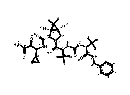 CC(C)(C)[C@H](NC(=O)N[C@H](C(=O)N1C[C@H]2[C@@H]([C@H]1C(=O)NC(C(=O)C(N)=O)C1CC1)C2(C)C)C(C)(C)C)C(=O)NCc1ccccc1